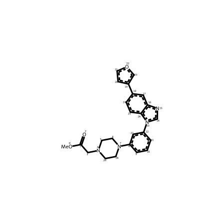 COC(=O)CN1CCN(c2cccc(-n3cnc4cc(-c5ccoc5)ccc43)c2)CC1